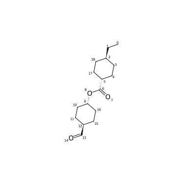 CC[C@H]1CC[C@H](C(=O)O[C@H]2CC[C@H](C=O)CC2)CC1